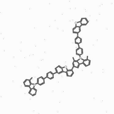 Cc1cccc2c3ccccc3n(-c3ccc(-c4ccc(-c5ccc6oc7c(-c8cc(C)c9c(c8)c8cccc(C)c8n9-c8ccc(-c9ccc(-c%10ccc%11oc%12ccccc%12c%11c%10)cc9)cc8)cccc7c6c5)cc4)cc3)c12